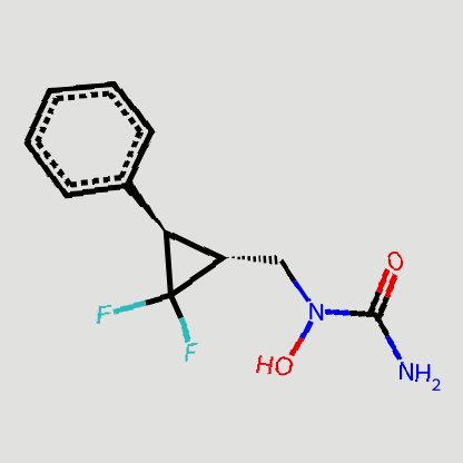 NC(=O)N(O)C[C@H]1[C@H](c2ccccc2)C1(F)F